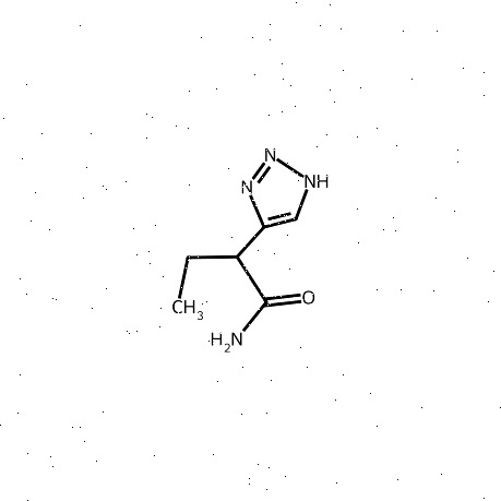 CCC(C(N)=O)c1c[nH]nn1